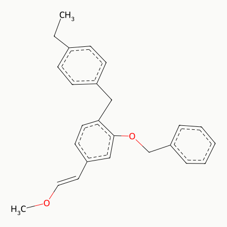 CCc1ccc(Cc2ccc(C=COC)cc2OCc2ccccc2)cc1